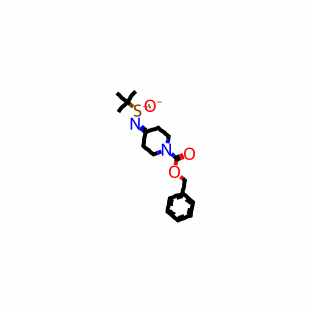 CC(C)(C)[S+]([O-])N=C1CCN(C(=O)OCc2ccccc2)CC1